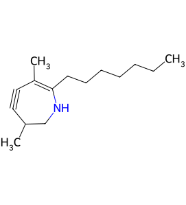 CCCCCCCC1=C(C)C#CC(C)CN1